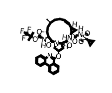 C[C@H]1CC/C=C\[C@@H]2C[C@@]2(C(=O)NS(=O)(=O)C2CC2)NC(=O)[C@@H]2C[C@@H](Oc3nc4ccccc4c4ccccc34)CN2C(=O)[C@@H](NC(=O)OC(C)(C)C(F)(F)F)[C@H](C)C1